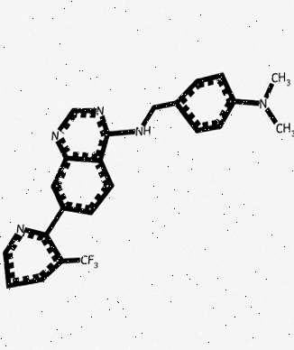 CN(C)c1ccc(CNc2ncnc3cc(-c4ncccc4C(F)(F)F)ccc23)cc1